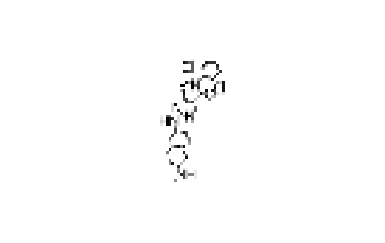 CNC1CCc2cc(Nc3ncc4c(n3)SCN(c3c(Cl)cccc3Cl)C4=O)ccc2C1